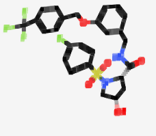 O=C(NCc1cccc(OCc2ccc(C(F)(F)F)cc2)c1)[C@@H]1C[C@H](O)CN1S(=O)(=O)c1ccc(F)cc1